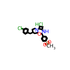 CS(=O)(=O)c1ccc(C(=O)N[C@@H]2CC[C@@H]2N2CCC(Cc3ccc(Cl)cc3)CC2)cc1.Cl